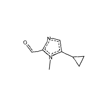 Cn1c(C2CC2)cnc1C=O